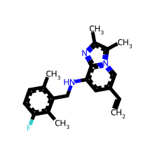 C=Cc1cc(NCc2c(C)ccc(F)c2C)c2nc(C)c(C)n2c1